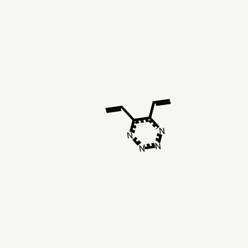 C=Cc1nnnnc1C=C